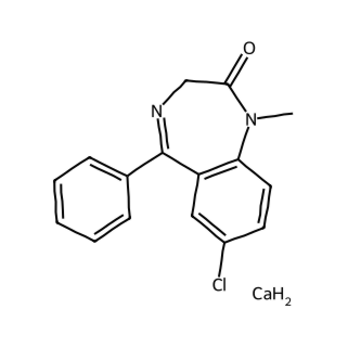 CN1C(=O)CN=C(c2ccccc2)c2cc(Cl)ccc21.[CaH2]